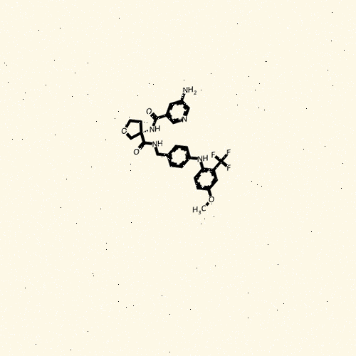 COc1ccc(Nc2ccc(CNC(=O)[C@]3(NC(=O)c4cncc(N)c4)CCOC3)cc2)c(C(F)(F)F)c1